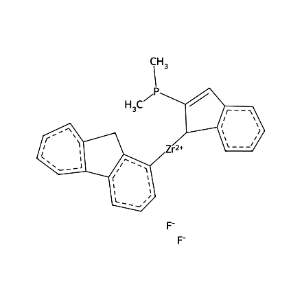 CP(C)C1=Cc2ccccc2[CH]1[Zr+2][c]1cccc2c1Cc1ccccc1-2.[F-].[F-]